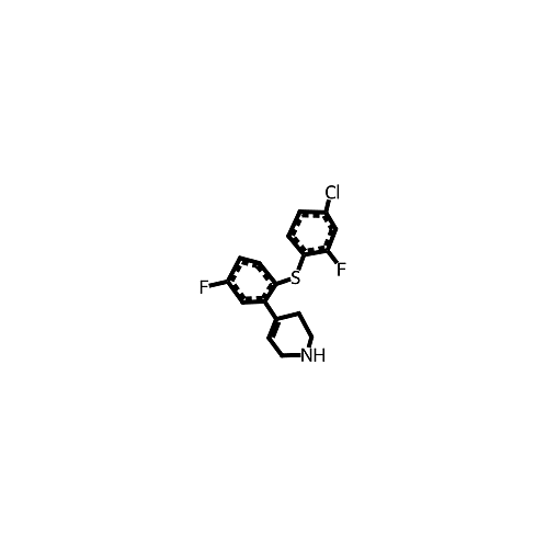 Fc1ccc(Sc2ccc(Cl)cc2F)c(C2=CCNCC2)c1